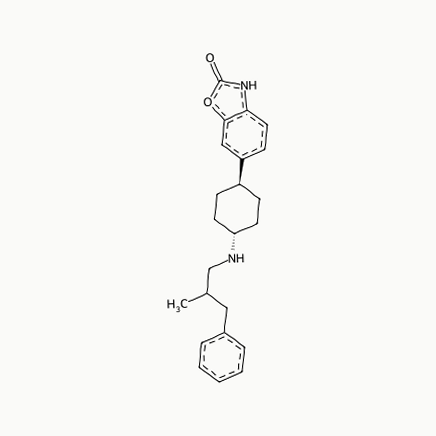 CC(CN[C@H]1CC[C@H](c2ccc3[nH]c(=O)oc3c2)CC1)Cc1ccccc1